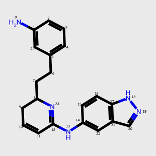 Nc1cccc(CCC2CC=CC(Nc3ccc4[nH]ncc4c3)=N2)c1